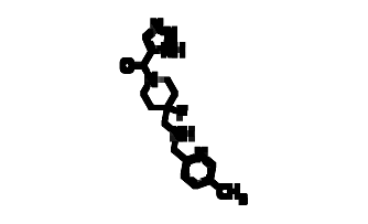 Cc1ccc(CNCC2(F)CCN(C(=O)c3cnn[nH]3)CC2)nc1